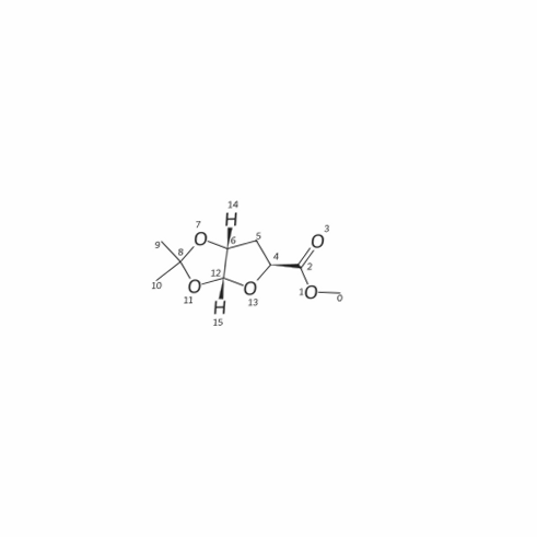 COC(=O)[C@@H]1C[C@H]2OC(C)(C)O[C@H]2O1